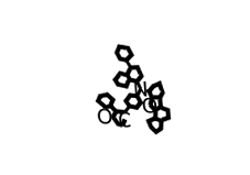 c1ccc(-c2ccc(N(c3ccc(-c4cccc5oc6ccccc6c45)cc3)c3cccc4c3oc3c5ccccc5ccc43)c3ccccc23)cc1